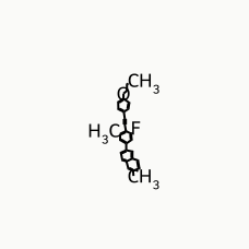 CCCOc1ccc(C#Cc2c(C)cc(-c3ccc4cc(C)ccc4c3)cc2F)cc1